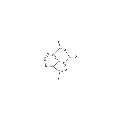 Cc1cc2c3c(ncnn13)C(Cl)OC2=O